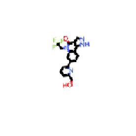 O=c1c2cn[nH]c2c2ccc(-c3cccc(CO)n3)cc2n1CC(F)(F)F